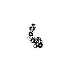 CC(C)N1[C@@H](C)CN(c2ccc(Nc3ncc4c(n3)N3CCN=C3N(c3c(Cl)cccc3Cl)C4=O)cc2)C[C@@H]1C